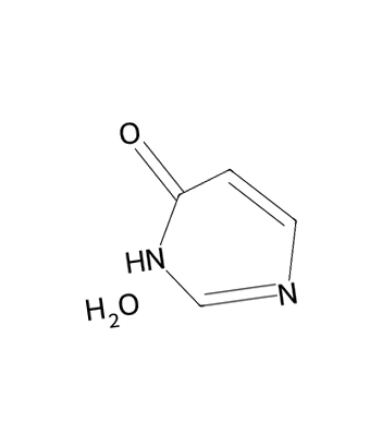 O.O=c1ccnc[nH]1